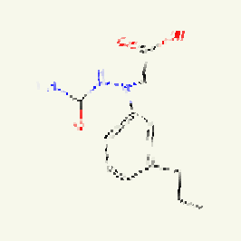 CCCc1cccc(N(CC(=O)O)NC(N)=O)c1